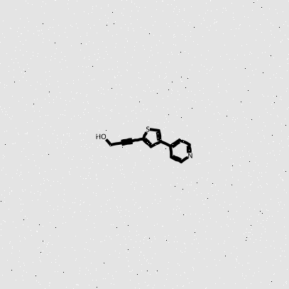 OCC#Cc1cc(-c2ccncc2)cs1